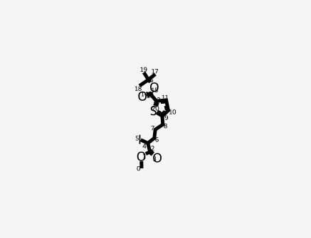 COC(=O)C(I)CCCc1ccc(C(=O)OC(C)(C)C)s1